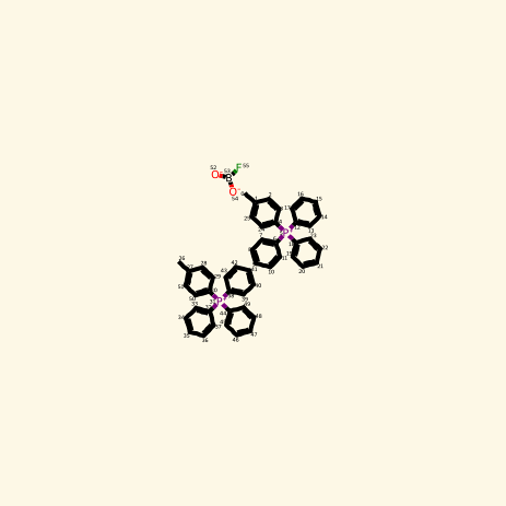 Cc1ccc([P+](c2ccccc2)(c2ccccc2)c2ccccc2)cc1.Cc1ccc([P+](c2ccccc2)(c2ccccc2)c2ccccc2)cc1.[O-]B([O-])F